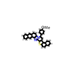 COc1ccc(-c2cc3c(sc4ccc5ccccc5c43)c3nc4c5cc6ccccc6cc5ccc4n23)cc1